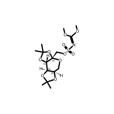 COC(=NS(=O)(=O)OC[C@@]12OC[C@H]3OC(C)(C)O[C@H]3[C@@H]1OC(C)(C)O2)OC